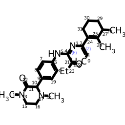 C/C=C(\N=C(\Nc1ccc(C2C(=O)N(C)CCN2C)cc1)C(=O)CC)C1=C(C)C(C)CCC1